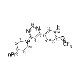 CCCC1CCN(c2cc(-c3ccc(OC(F)(F)F)c(F)c3)ncn2)CC1